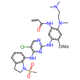 C=CC(=O)Nc1cc(Nc2ncc(Cl)c(Nc3cccc4c3N(S(C)(=O)=O)CC4)n2)c(OC)cc1N(C)CCN(C)C